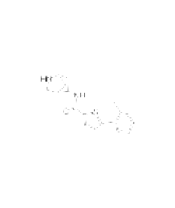 Cc1ccccc1-c1ccc(C(=O)NC2CC3CC2CN3)s1